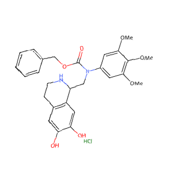 COc1cc(N(CC2NCCc3cc(O)c(O)cc32)C(=O)OCc2ccccc2)cc(OC)c1OC.Cl